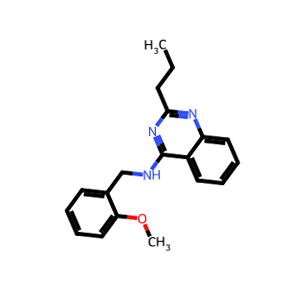 CCCc1nc(NCc2ccccc2OC)c2ccccc2n1